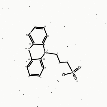 O=S(=O)(Cl)CCCN1c2ccccc2Oc2ccccc21